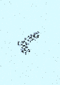 Cc1cc2nccc(=O)n2nc1N1CC[C@H](Oc2ccc3c(c2)OC(F)CO3)C[C@H]1C